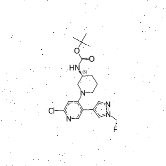 CC(C)(C)OC(=O)N[C@H]1CCCN(c2cc(Cl)ncc2-c2cnn(CF)c2)C1